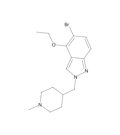 CCOc1c(Br)ccc2nn(CC3CCN(C)CC3)cc12